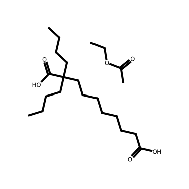 CCCCC(CCCC)(CCCCCCCC(=O)O)C(=O)O.CCOC(C)=O